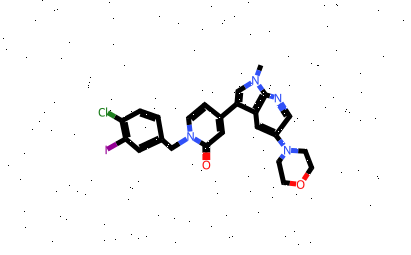 Cn1cc(-c2ccn(Cc3ccc(Cl)c(I)c3)c(=O)c2)c2cc(N3CCOCC3)cnc21